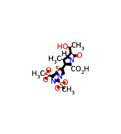 C[C@@H](O)[C@H]1C(=O)N2C(C(=O)O)=C(c3cn4c(S(C)(=O)=O)nc(S(C)(=O)=O)c4s3)[C@H](C)[C@H]12